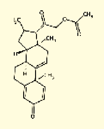 CC(=O)OCC(=O)[C@H]1C(C)C[C@H]2[C@@H]3CCC4=CC(=O)C=C[C@]4(C)C3=CC[C@]12C